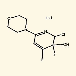 Cl.OC1(F)C(F)=CC(N2CCOCC2)=NC1Cl